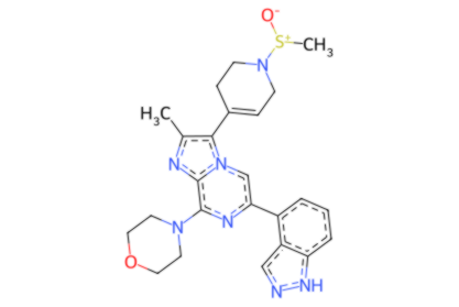 Cc1nc2c(N3CCOCC3)nc(-c3cccc4[nH]ncc34)cn2c1C1=CCN([S+](C)[O-])CC1